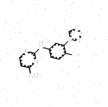 CNc1ccnc(Nc2ccc(C)c(-n3cnnn3)c2)n1